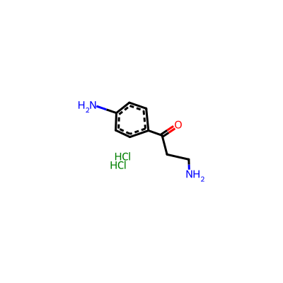 Cl.Cl.NCCC(=O)c1ccc(N)cc1